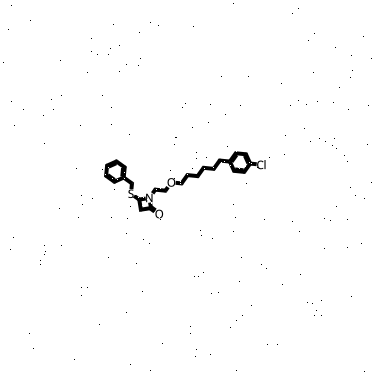 O=C1CC(SCc2ccccc2)N1CCOCCCCCCc1ccc(Cl)cc1